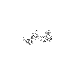 COc1cc(OCC2CCSC(C3(NS(=O)(=O)C(C)(C)C)CCOCC3)C2)c2cc(-c3cnc4sc(OC)nn34)oc2c1